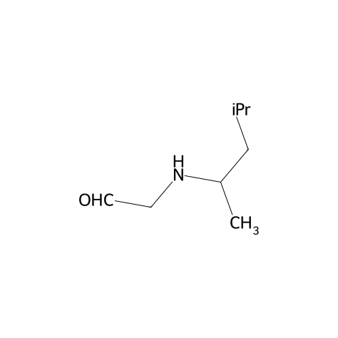 CC(C)CC(C)NCC=O